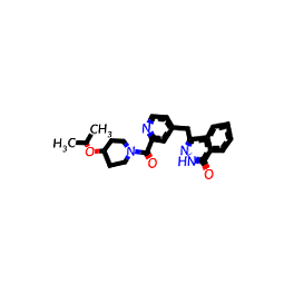 CC(C)OC1CCN(C(=O)c2cc(Cc3n[nH]c(=O)c4ccccc34)ccn2)CC1